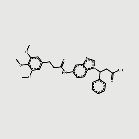 COc1cc(CCC(=O)Nc2ccc3c(c2)ncn3C(CC(=O)O)c2ccccc2)cc(OC)c1OC